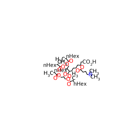 CCCCCCC(C)C(=O)OCC(COC(=O)C(C)CCCCCC)OC(=O)C(CCC(CCCC(=O)O)OC(=O)CCCN(C)C)C(COC(=O)C(C)CCCCCC)COC(=O)C(C)CCCCCC